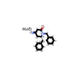 CON=C1CC(=O)N(Cc2ccccc2)[C@H](Cc2ccccc2)C1